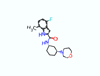 Cc1ccc(F)c2cc(C(=O)N[C@H]3CCC[C@H](N4CCCOCC4)C3)[nH]c12